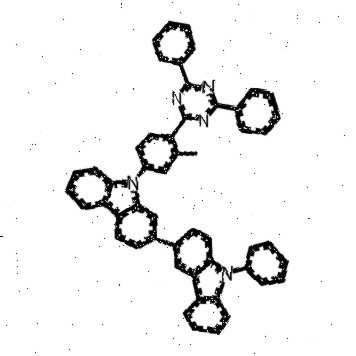 Cc1cc(-n2c3ccccc3c3ccc(-c4ccc5c(c4)c4ccccc4n5-c4ccccc4)cc32)ccc1-c1nc(-c2ccccc2)nc(-c2ccccc2)n1